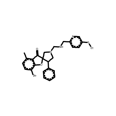 CCSc1ccc(CNCN2CC(c3ccccc3)C3(C2)Oc2c(C(C)C)ccc(C)c2C3=O)nc1